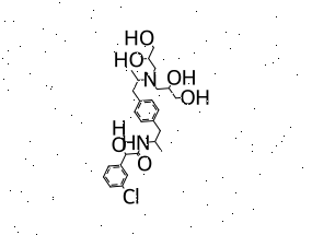 CC(Cc1ccc(CC(C)N(CC(O)CO)CC(O)CO)cc1)NC(=O)C(O)c1cccc(Cl)c1